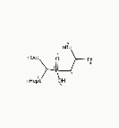 CCCCCCCCC(CCCCCCC)P(=O)(O)CC(CC)CCCC